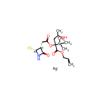 C=CCOC(=O)C(CC(C)O)(OC(=O)C[C@@H]1C(=O)N[C@@H]1S)[Si](C)(C)C.[Ag]